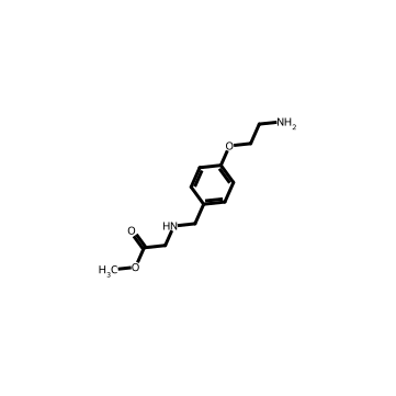 COC(=O)CNCc1ccc(OCCN)cc1